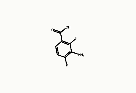 Nc1c(F)ccc(C(=O)O)c1F